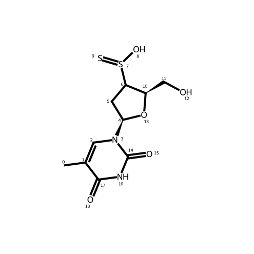 Cc1cn([C@H]2CC(S(O)=S)[C@@H](CO)O2)c(=O)[nH]c1=O